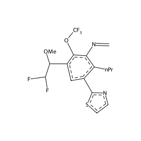 C=Nc1c(CCC)c(-c2nccs2)cc(C(OC)C(F)F)c1OC(F)(F)F